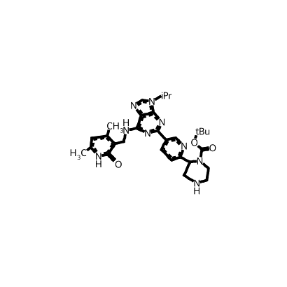 Cc1cc(C)c(CNc2nc(-c3ccc(C4CNCCN4C(=O)OC(C)(C)C)nc3)nc3c2ncn3C(C)C)c(=O)[nH]1